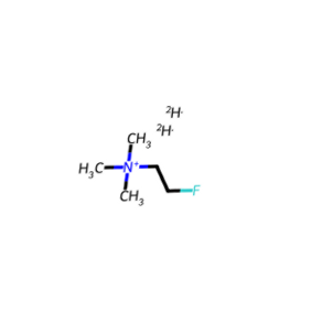 C[N+](C)(C)CCF.[2H].[2H]